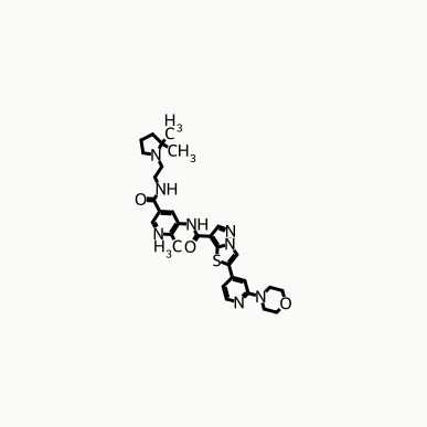 Cc1ncc(C(=O)NCCN2CCCC2(C)C)cc1NC(=O)c1cnn2cc(-c3ccnc(N4CCOCC4)c3)sc12